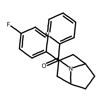 O=C(c1ccccn1)N1C2CCC1CC(c1ccc(F)cc1)C2